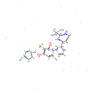 Cc1cc(OCc2ccc(F)cc2)c(Br)c(=O)n1-c1ccnc(-c2ccnc(C(C)(C)C)n2)c1